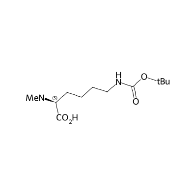 CN[C@@H](CCCCNC(=O)OC(C)(C)C)C(=O)O